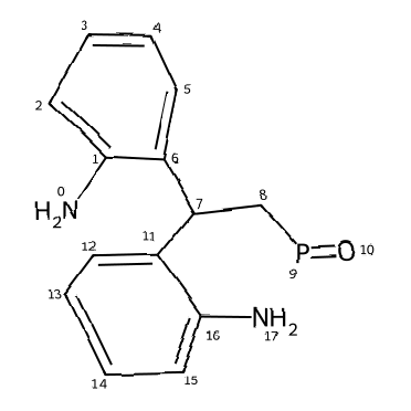 Nc1ccccc1C(CP=O)c1ccccc1N